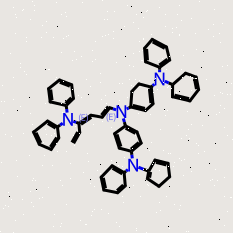 C=C/C(=C\C=C\N(C1=CC=C(N(c2ccccc2)C2C=CC=CC2)CC1)c1ccc(N(C2=CCCC=C2)c2ccccc2)cc1)N(c1ccccc1)c1ccccc1